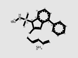 C=CC=CC.CC1=Cc2c(-c3ccccc3)cccc2[CH]1[Ti]([CH3])([CH3])[NH]C(C)(C)C.[SiH4]